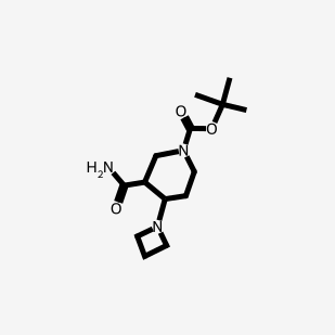 CC(C)(C)OC(=O)N1CCC(N2CCC2)C(C(N)=O)C1